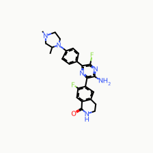 CC1CN(C)CCN1c1ccc(-c2nc(-c3cc4c(cc3F)C(=O)NCC4)c(N)nc2F)cc1